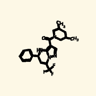 CC1CC(C)CN(C(=O)c2cnn3c2NC(c2ccccc2)CC3C(F)(F)F)C1